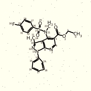 CCOC(=O)c1cnc2c(c(C)nn2-c2ccccc2)c1N(C)S(=O)(=O)c1ccc(F)cc1